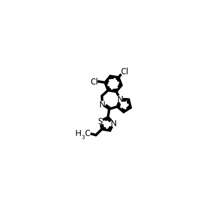 CCc1cnc(C2=NCc3c(Cl)cc(Cl)cc3-n3cccc32)s1